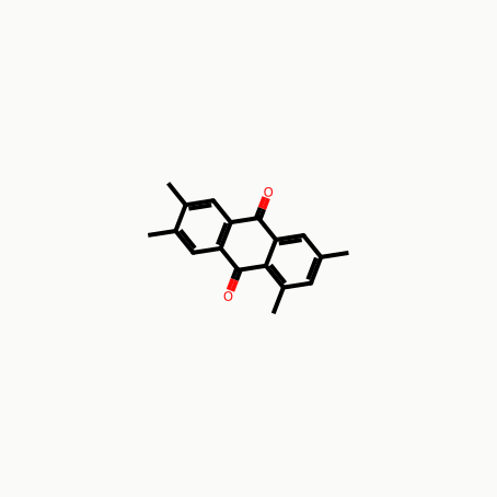 Cc1cc(C)c2c(c1)C(=O)c1cc(C)c(C)cc1C2=O